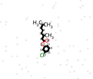 CC(C)=CCC/C(C)=C/C(=O)Oc1cccc(Cl)c1